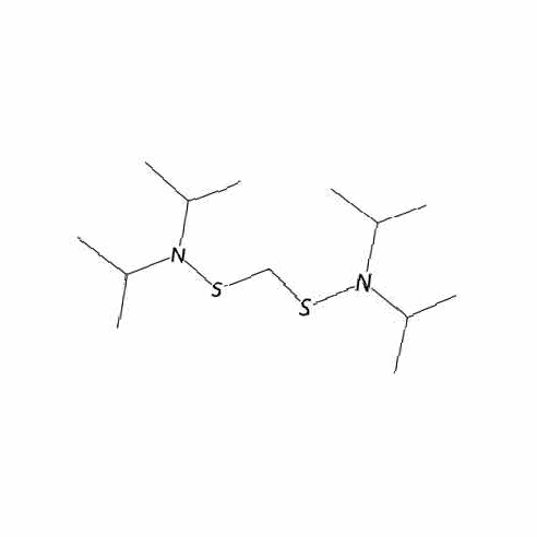 CC(C)N(SCSN(C(C)C)C(C)C)C(C)C